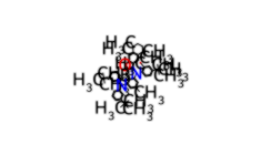 Cc1cc2c3c(c1)N(c1ccc(C(C)(C)C)cc1C)c1c(oc4cc5c(cc14)C(C)(C)CCC5(C)C)B3c1ccc(C(C)(C)C)cc1N2c1cccc(C(C)(C)C)c1